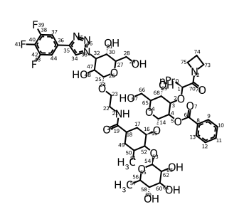 CCC[C@H](OC1C(OC(=O)c2ccccc2)[C@H](O[C@@H]2CC(C(=O)NCCO[C@H]3OC(CO)[C@@H](O)C(n4cc(-c5cc(F)c(F)c(F)c5)nn4)C3O)CC(C)C2O[C@@H]2OC(C)[C@@H](O)C(O)C2O)OC(CO)[C@@H]1O)C(=O)N1CCC1